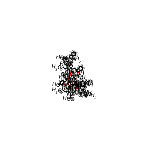 CSCCC(NC(=O)C(Cc1c[nH]c2ccccc12)NC(=O)CNC(=O)C(Cc1ccc(O)cc1)NC(=O)C(C)NC(=O)C(CCC(=O)O)NC(=O)C(CCC(=O)O)NC(=O)C(CCC(=O)O)NC(=O)C(CCC(=O)O)NC(=O)C(CCC(=O)O)NC(=O)C(CCSC)NC(=O)C1CCCN1C(=O)C1CCCN1C(=O)C(CCCNC(=N)N)NC(=O)C1CCC(=O)N1)C(=O)NC(CC(=O)O)C(=O)NC(Cc1ccccc1)C(N)=O